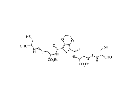 CCOC(=O)C(CSSN[C@H](C=O)CS)NC(=O)c1sc(C(=O)NC(CSSN[C@H](C=O)CS)C(=O)OCC)c2c1OCCO2